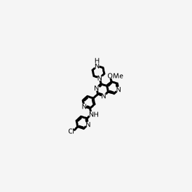 COc1cncc2nc(-c3ccnc(Nc4ccc(Cl)cn4)c3)nc(N3CCNCC3)c12